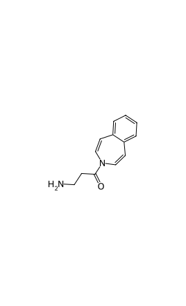 NCCC(=O)N1C=Cc2ccccc2C=C1